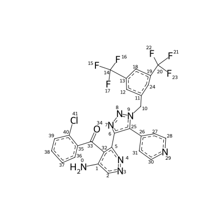 Nc1cnnc(-c2nnn(Cc3cc(C(F)(F)F)cc(C(F)(F)F)c3)c2-c2ccncc2)c1C(=O)c1ccccc1Cl